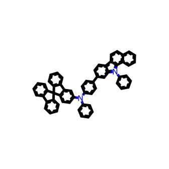 c1ccc(N(c2ccc(-c3ccc4c5ccc6ccccc6c5n(-c5ccccc5)c4c3)cc2)c2ccc3c(c2)-c2ccccc2C32c3ccccc3-c3ccccc32)cc1